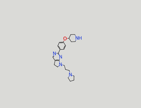 c1cc(-c2ncc3c(n2)N(CCCN2CCCC2)CC3)ccc1OC1CCNCC1